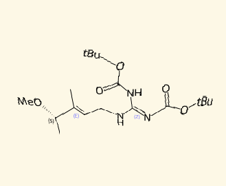 CO[C@@H](C)/C(C)=C/CN/C(=N/C(=O)OC(C)(C)C)NC(=O)OC(C)(C)C